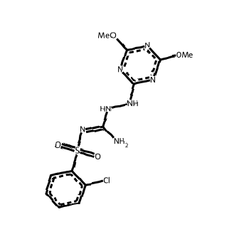 COc1nc(NN/C(N)=N/S(=O)(=O)c2ccccc2Cl)nc(OC)n1